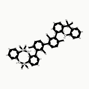 Cc1ccc(-c2ccc(C)c(-c3cccc4c3O[Si](C)(C)c3ccccc3O[Si]4(C)C)c2C)c(C)c1-c1cccc2c1Oc1ccccc1C2(C)C